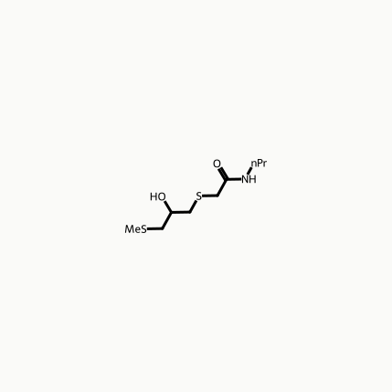 CCCNC(=O)CSCC(O)CSC